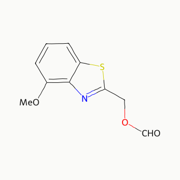 COc1cccc2sc(COC=O)nc12